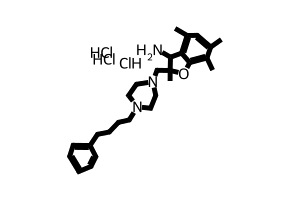 Cc1cc(C)c2c(c1C)OC(C)(CN1CCN(CCCCc3ccccc3)CC1)C2N.Cl.Cl.Cl